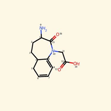 NC1CCC2CC=CC=C2N(CC(=O)O)C1=O